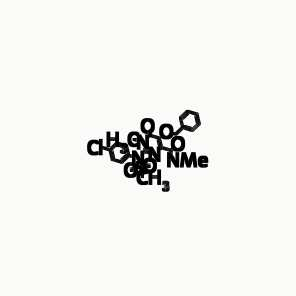 CNC(=O)c1nc(N(c2ccc(Cl)cc2)S(C)(=O)=O)n(C)c(=O)c1OCc1ccccc1